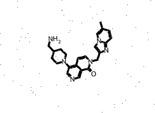 Cc1ccc2nc(Cn3ccc4c(N5CCC(CN)CC5)cncc4c3=O)cn2c1